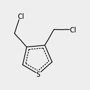 ClCc1cscc1CCl